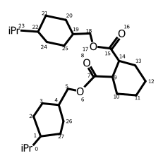 CC(C)C1CCC(COC(=O)C2CCCCC2C(=O)OCC2CCC(C(C)C)CC2)CC1